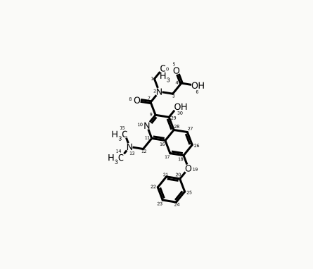 CCN(CC(=O)O)C(=O)c1nc(CN(C)C)c2cc(Oc3ccccc3)ccc2c1O